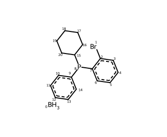 B.Brc1ccccc1P(c1ccccc1)C1CCCCC1